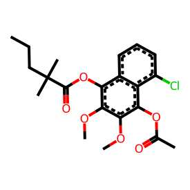 CCCC(C)(C)C(=O)Oc1c(OC)c(OC)c(OC(C)=O)c2c(Cl)cccc12